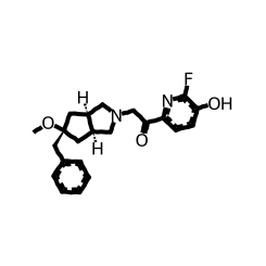 CO[C@]1(Cc2ccccc2)C[C@H]2CN(CC(=O)c3ccc(O)c(F)n3)C[C@H]2C1